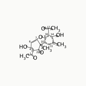 CC(=O)C1=C(O)C=C2Oc3c(cc(C)c(O)c3C(C)=O)C2(C)C1=O